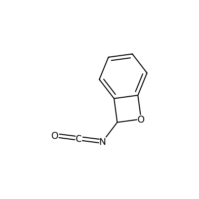 O=C=NC1Oc2ccccc21